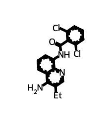 CCc1cnc2c(NC(=O)c3c(Cl)cccc3Cl)cccc2c1N